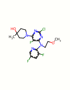 COCCN(c1ncc(F)cc1F)c1nc(Cl)nc(N2CCC(C)(O)CC2)c1F